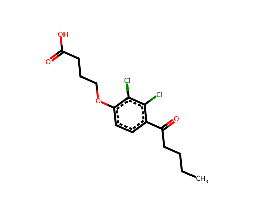 CCCCC(=O)c1ccc(OCCCC(=O)O)c(Cl)c1Cl